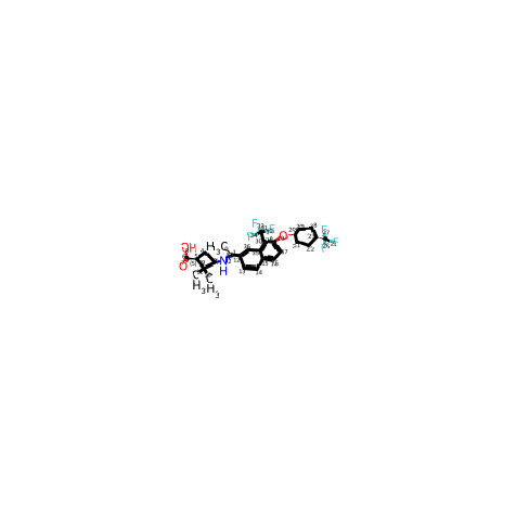 C[C@@H](N[C@@H]1C[C@H](C(=O)O)C1(C)C)c1ccc2ccc(O[C@H]3CC[C@@H](C(F)(F)F)CC3)c(C(F)(F)F)c2c1